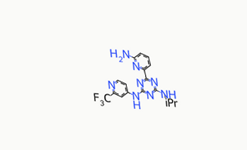 CC(C)Nc1nc(Nc2ccnc(C(F)(F)F)c2)nc(-c2cccc(N)n2)n1